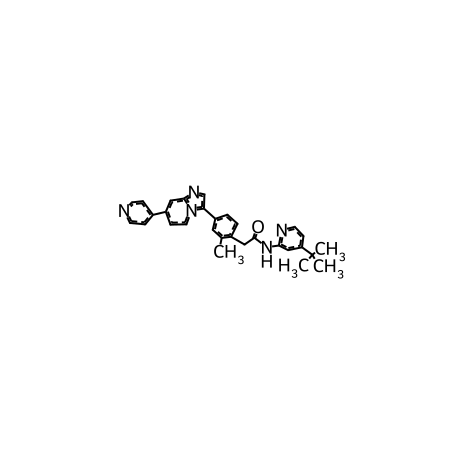 Cc1cc(-c2cnc3cc(-c4ccncc4)ccn23)ccc1CC(=O)Nc1cc(C(C)(C)C)ccn1